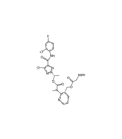 CNCC(=O)OCc1cccnc1N(C)C(=O)OC(C)n1nc(Cl)c(C(=O)Nc2ccc(F)cc2Cl)n1